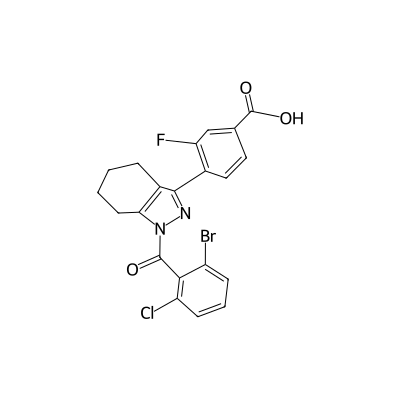 O=C(O)c1ccc(-c2nn(C(=O)c3c(Cl)cccc3Br)c3c2CCCC3)c(F)c1